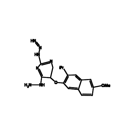 COc1ccc2cc(OC3CN=C(NN=N)N=C3NN)c(C(C)C)cc2c1